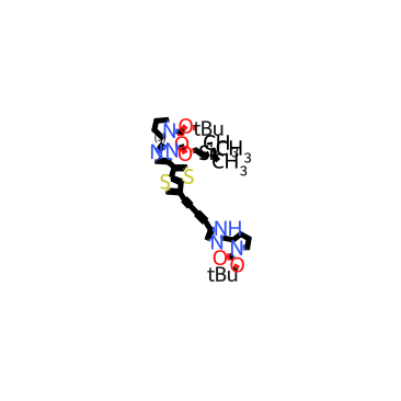 CC(C)(C)OC(=O)N1CCCC1c1ncc(C#CC#Cc2csc3c(-c4cnc([C@@H]5CCCN5C(=O)OC(C)(C)C)n4COCC[Si](C)(C)C)csc23)[nH]1